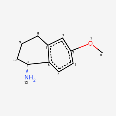 COc1ccc2c(c1)CCC[C@H]2N